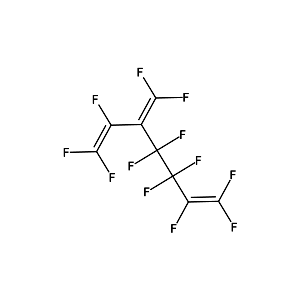 FC(F)=C(F)C(=C(F)F)C(F)(F)C(F)(F)C(F)=C(F)F